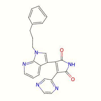 O=C1NC(=O)C(c2cn(CCCc3ccccc3)c3ncccc23)=C1c1cnccn1